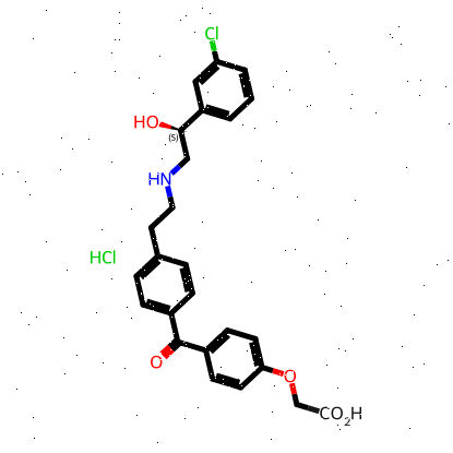 Cl.O=C(O)COc1ccc(C(=O)c2ccc(CCNC[C@@H](O)c3cccc(Cl)c3)cc2)cc1